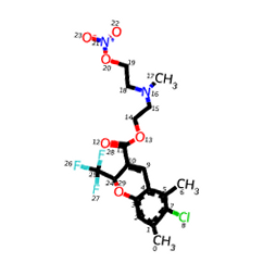 Cc1cc2c(c(C)c1Cl)C=C(C(=O)OCCN(C)CCO[N+](=O)[O-])C(C(F)(F)F)O2